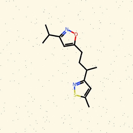 Cc1cc(C(C)CCc2cc(C(C)C)no2)ns1